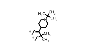 C=C(C1CCN(C(C)(C)C)CC1)C(C)(C)C